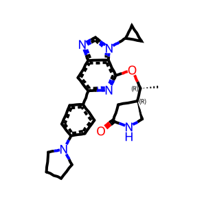 C[C@@H](Oc1nc(-c2ccc(N3CCCC3)cc2)cc2ncn(C3CC3)c12)[C@H]1CNC(=O)C1